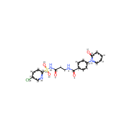 O=C(CCNC(=O)c1ccc(-n2ccccc2=O)cc1)NS(=O)(=O)c1ccc(Cl)cn1